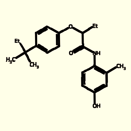 CCC(Oc1ccc(C(C)(C)CC)cc1)C(=O)Nc1ccc(O)cc1C